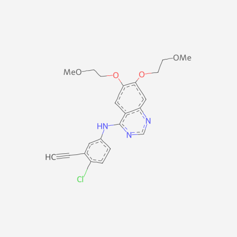 C#Cc1cc(Nc2ncnc3cc(OCCOC)c(OCCOC)cc23)ccc1Cl